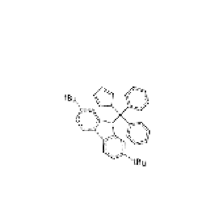 CC(C)(C)c1ccc2c(c1)C(C(c1ccccc1)(c1ccccc1)C1C=CC=C1)c1cc(C(C)(C)C)ccc1-2